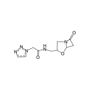 O=C(Cn1ccnn1)NCC1CN2C(=O)CC2O1